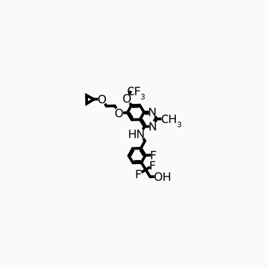 Cc1nc(NCc2cccc(C(F)(F)CO)c2F)c2cc(OCCOC3CC3)c(OC(F)(F)F)cc2n1